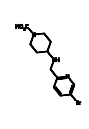 O=C(O)N1CCC(NCc2ccc(Br)cn2)CC1